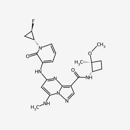 CNc1cc(Nc2cccn([C@@H]3C[C@H]3F)c2=O)nc2c(C(=O)N[C@H]3CC[C@]3(C)OC)cnn12